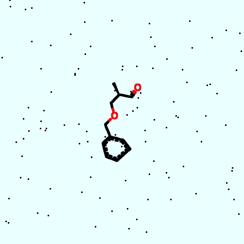 C[C@@H](C=O)COCc1ccccc1